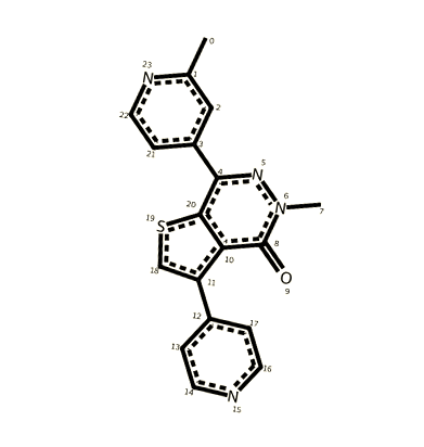 Cc1cc(-c2nn(C)c(=O)c3c(-c4ccncc4)csc23)ccn1